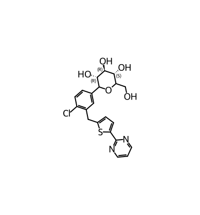 OCC1OC(c2ccc(Cl)c(Cc3ccc(-c4ncccn4)s3)c2)[C@H](O)[C@@H](O)[C@@H]1O